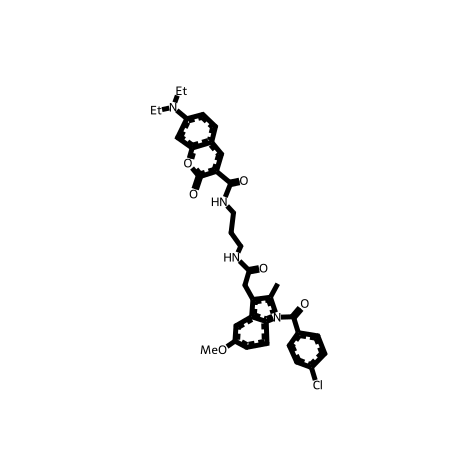 CCN(CC)c1ccc2cc(C(=O)NCCCNC(=O)Cc3c(C)n(C(=O)c4ccc(Cl)cc4)c4ccc(OC)cc34)c(=O)oc2c1